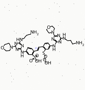 NCCCNc1nc(Nc2ccc(/C=C/c3ccc(Nc4nc(NCCCN)nc(N5CCOCC5)n4)cc3S(=O)(=O)O)c(SOOO)c2)nc(N2CCOCC2)n1